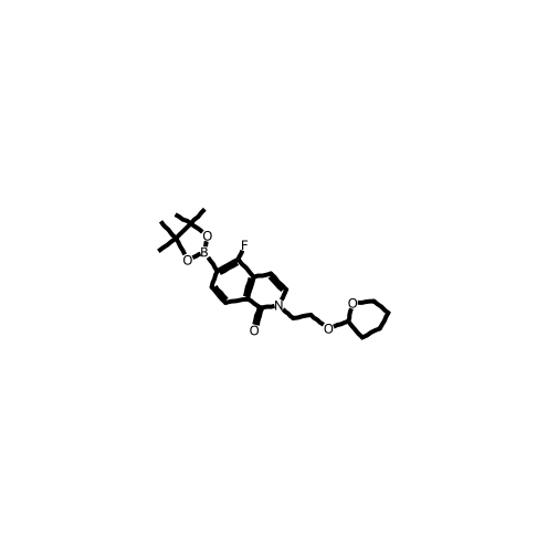 CC1(C)OB(c2ccc3c(=O)n(CCOC4CCCCO4)ccc3c2F)OC1(C)C